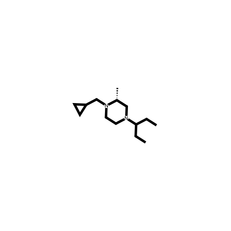 CCC(CC)N1CCN(CC2CC2)[C@H](C)C1